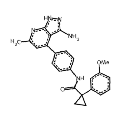 COc1cccc(C2(C(=O)Nc3ccc(-c4cc(C)nc5[nH]nc(N)c45)cc3)CC2)c1